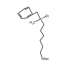 CCCCCCCCCCCCCCCC[N+](C)(CC)Cc1ccccc1